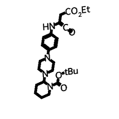 CCOC(=O)CC(=C=O)Nc1ccc(N2CCN(C3CCCCN3C(=O)OC(C)(C)C)CC2)cc1